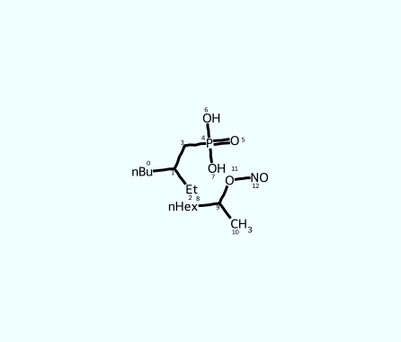 CCCCC(CC)CP(=O)(O)O.CCCCCCC(C)ON=O